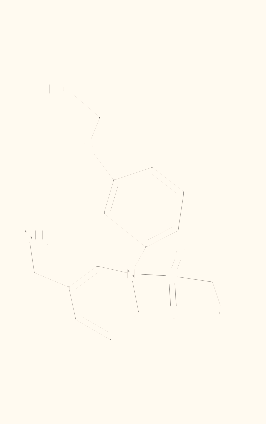 NCC1=C[N+](c2cccc(OCC(F)(F)F)c2)(S(=O)(=O)CC(F)(F)F)CC=C1